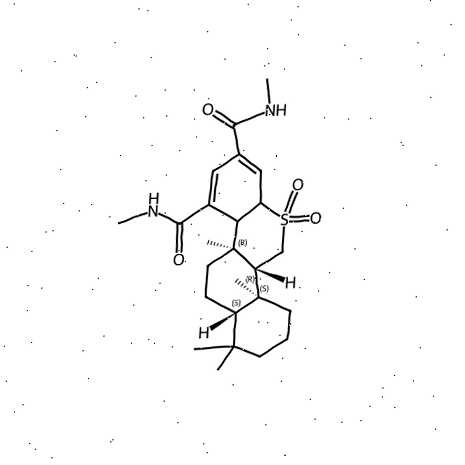 CNC(=O)C1=CC2C(C(C(=O)NC)=C1)[C@]1(C)CC[C@H]3C(C)(C)CCC[C@]3(C)[C@H]1CS2(=O)=O